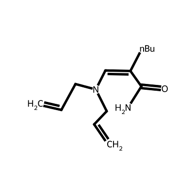 C=CCN(C=C(CCCC)C(N)=O)CC=C